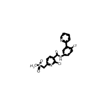 CS(=O)(=O)Cc1ccc(C(=O)Nc2ccc(Cl)c(-c3ccccn3)c2)c(Cl)n1